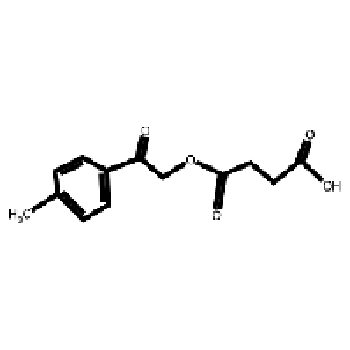 Cc1ccc(C(=O)COC(=O)CCC(=O)O)cc1